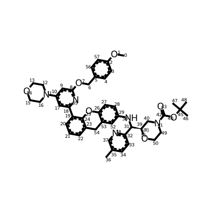 COc1ccc(COc2cc(N3CCOCC3)cc(-c3cccc4c3Oc3ccc(NC(c5ccc(C)cn5)[C@H]5CN(C(=O)OC(C)(C)C)CCO5)cc3C4)n2)cc1